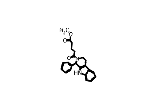 COC(=O)CCCC(=O)N1CCc2c([nH]c3ccccc23)C1c1ccccc1